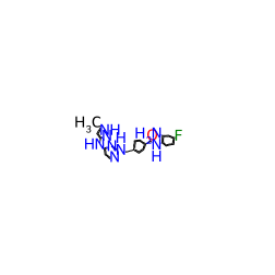 Cc1cc(Nc2ccnc(NCc3ccc(C(=O)Nc4ccc(F)cc4N)cc3)n2)n[nH]1